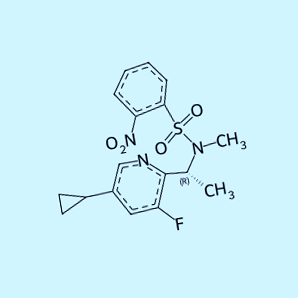 C[C@H](c1ncc(C2CC2)cc1F)N(C)S(=O)(=O)c1ccccc1[N+](=O)[O-]